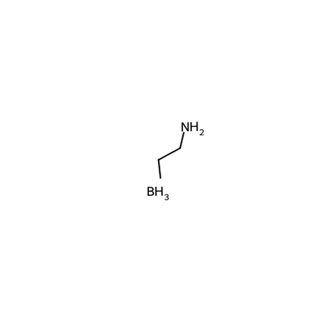 B.CCCN